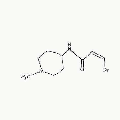 CC(C)/C=C\C(=O)NC1CCN(C)CC1